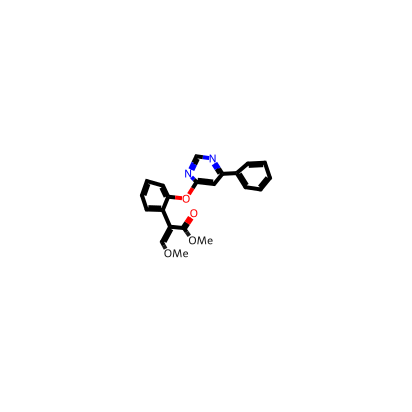 COC=C(C(=O)OC)c1ccccc1Oc1cc(-c2ccccc2)ncn1